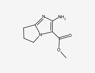 COC(=O)c1c(N)nc2n1CCC2